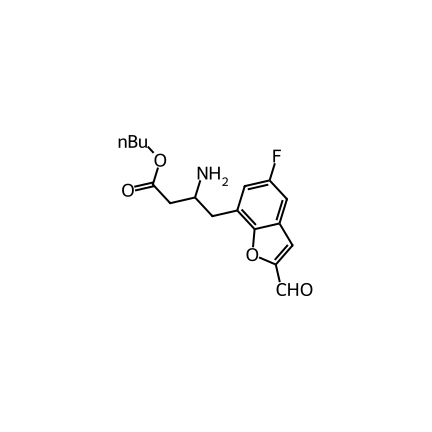 CCCCOC(=O)CC(N)Cc1cc(F)cc2cc(C=O)oc12